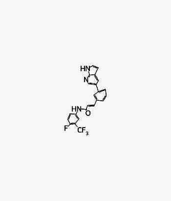 O=C(C=Cc1cccc(-c2cnc3[nH]ccc3c2)c1)Nc1ccc(F)c(C(F)(F)F)c1